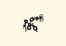 COC(=O)C1CN(c2cccc(-c3c(-c4ccsc4C#N)c4cc(F)ccc4n3Sc3ccc(C)cc3)c2)C1